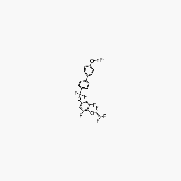 CCCOc1ccc(-c2ccc(C(F)(F)Oc3cc(F)c(OC(F)=C(F)F)c(F)c3)cc2)cc1